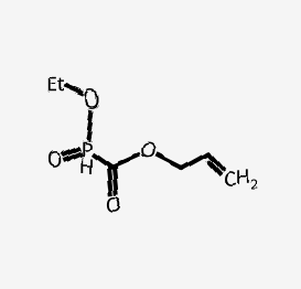 C=CCOC(=O)[PH](=O)OCC